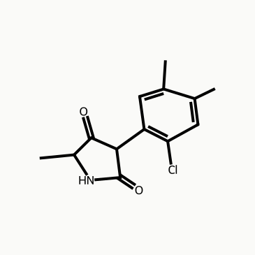 Cc1cc(Cl)c(C2C(=O)NC(C)C2=O)cc1C